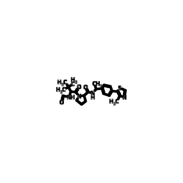 Cc1ncsc1-c1ccc(C(C)NC(=O)C2CCCN2C(=O)C(NC=O)C(C)(C)C)cc1